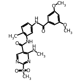 CNc1nc(S(C)(=O)=O)ncc1C(=O)Nc1cc(NC(=O)c2cc(OC)cc(OC)c2)ccc1C